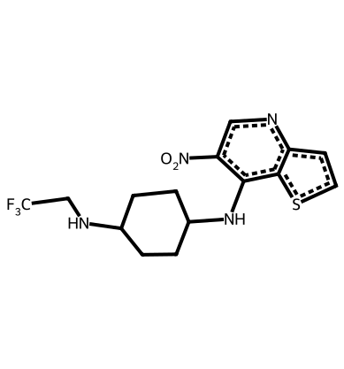 O=[N+]([O-])c1cnc2ccsc2c1NC1CCC(NCC(F)(F)F)CC1